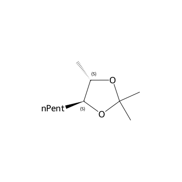 CCCCC[C@@H]1OC(C)(C)O[C@H]1C